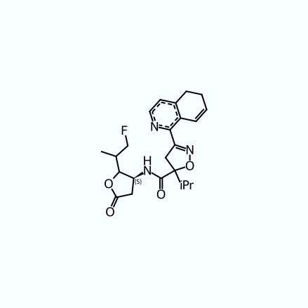 CC(CF)C1OC(=O)C[C@@H]1NC(=O)C1(C(C)C)CC(c2nccc3c2C=CCC3)=NO1